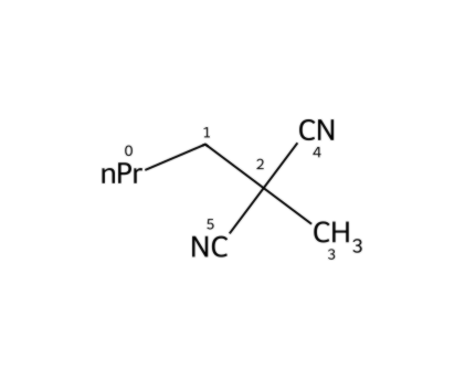 CCCCC(C)(C#N)C#N